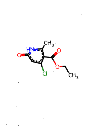 CCOC(=O)c1c(Cl)cc(=O)[nH]c1C